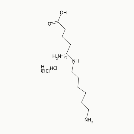 Cl.Cl.Cl.NCCCCCCN[C@H](N)CCCC(=O)O